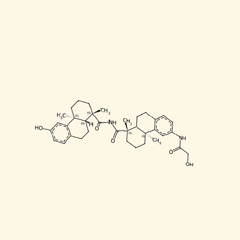 C[C@]1(C(=O)NC(=O)[C@@]2(C)CCC[C@]3(C)c4cc(O)ccc4CC[C@@H]23)CCC[C@]2(C)c3cc(NC(=O)CO)ccc3CCC12